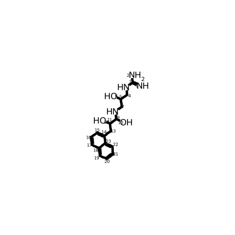 N=C(N)NCC(O)CNC(O)C(O)Cc1cccc2ccccc12